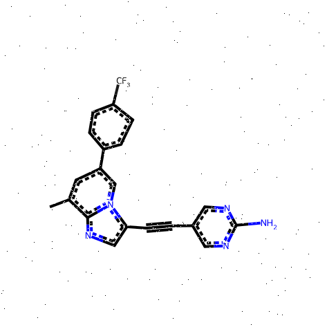 Cc1cc(-c2ccc(C(F)(F)F)cc2)cn2c(C#Cc3cnc(N)nc3)cnc12